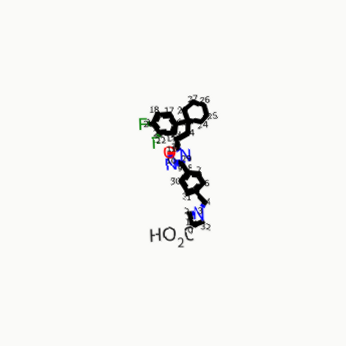 O=C(O)C1CN(Cc2ccc(-c3noc(C=CC4(c5ccc(F)c(F)c5)CCCCC4)n3)cc2)C1